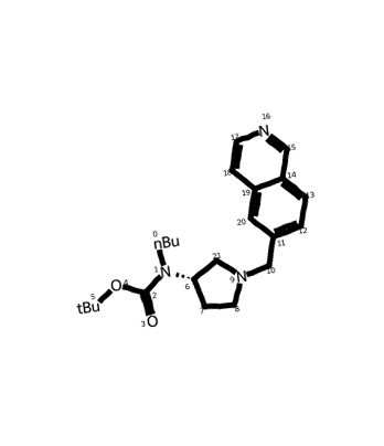 CCCCN(C(=O)OC(C)(C)C)[C@H]1CCN(Cc2ccc3cnccc3c2)C1